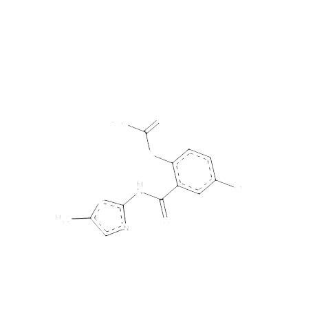 CC(=O)Oc1ccc(Cl)cc1C(=O)Nc1ncc(C)s1